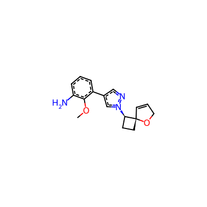 COc1c(N)cccc1-c1cnn([C@@H]2CC[C@]23C=CCO3)c1